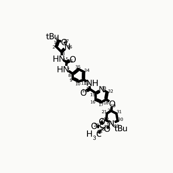 CC(C)(C)c1cc(NC(=O)Nc2ccc(NC(=O)c3ccc(OC4CC[N+](OS(C)(=O)=O)(C(C)(C)C)CC4)cn3)cc2)no1